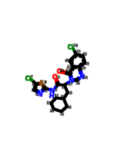 O=C(Nc1ncc(Cl)s1)C(CC1CCCCC1)n1cnc2ccc(Cl)cc2c1=O